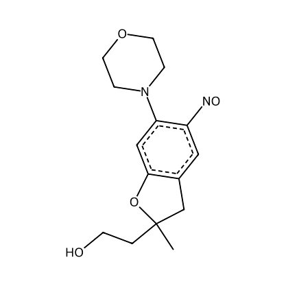 CC1(CCO)Cc2cc(N=O)c(N3CCOCC3)cc2O1